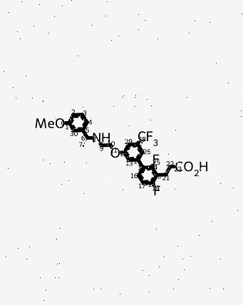 COc1cccc([C@@H](C)NCCOc2cc(-c3ccc(F)c(CCC(=O)O)c3F)cc(C(F)(F)F)c2)c1